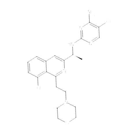 C[C@H](Nc1ncc(C(F)(F)F)c(N)n1)c1cc2cccc(Cl)c2c(CCN2CCOCC2)n1